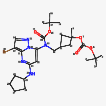 CC(C)(C)OC(=O)OC1(C)CC(CN(C(=O)OC(C)(C)C)c2cc(NC3CCCC3)nc3c(Br)cnn23)C1